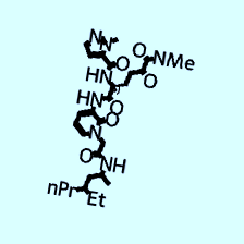 CCCC(CC)CC(C)NC(=O)Cn1cccc(NC(=O)[C@H](CCC(=O)C(=O)NC)NC(=O)c2ccnn2C)c1=O